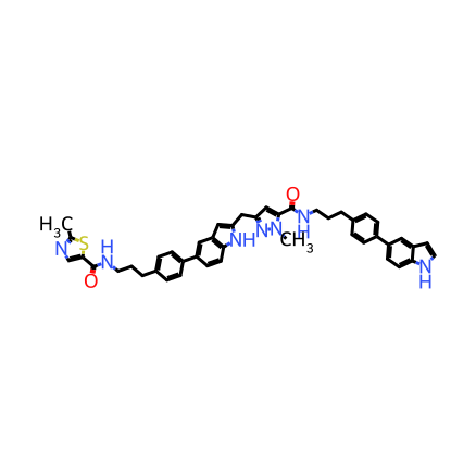 Cc1ncc(C(=O)NCCCc2ccc(-c3ccc4[nH]c(Cc5cc(C(=O)NCCCc6ccc(-c7ccc8[nH]ccc8c7)cc6)n(C)n5)cc4c3)cc2)s1